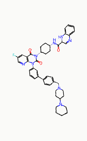 O=C(N[C@H]1CC[C@@H](n2c(=O)c3cc(F)cnc3n(-c3cccc(-c4ccc(CN5CCC(N6CCCCC6)CC5)cc4)c3)c2=O)CC1)C1C=Nc2ccccc2N1